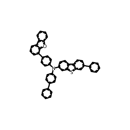 c1ccc(-c2ccc(N(c3ccc(-c4cccc5c4oc4ccccc45)cc3)c3ccc4c(c3)sc3cc(-c5ccccc5)ccc34)cc2)cc1